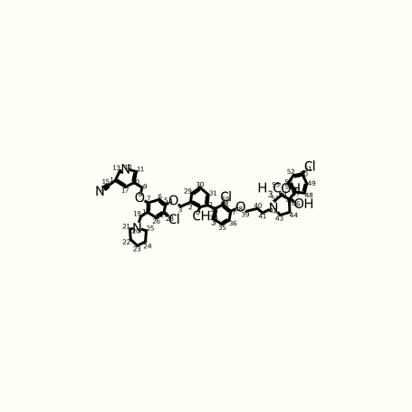 Cc1c(COc2cc(OCc3cncc(C#N)c3)c(CN3CCCCC3)cc2Cl)cccc1-c1cccc(OCCCN2CCC(O)(c3ccc(Cl)cc3)C(C)(O)C2)c1Cl